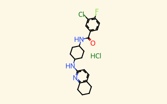 Cl.O=C(NC1CCC(Nc2ccc3c(n2)CCCC3)CC1)c1ccc(F)c(Cl)c1